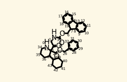 C[C@H](NC(=O)OCC1c2ccccc2-c2ccccc21)C(=O)C1(C(=O)OCc2ccccc2)NCCCC1C1CCCCC1